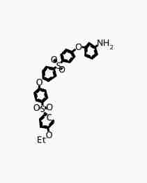 CCOc1ccc(S(=O)(=O)c2ccc(Oc3ccc(S(=O)(=O)c4ccc(Oc5cccc(N)c5)cc4)cc3)cc2)cc1